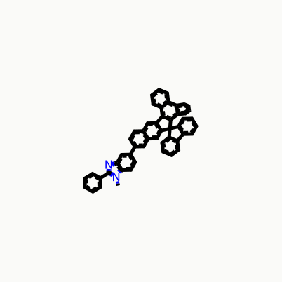 Cn1c(-c2ccccc2)nc2cc(-c3ccc4cc5c(cc4c3)C3(c4ccccc4-c4ccccc43)c3c-5c4ccccc4c4ccccc34)ccc21